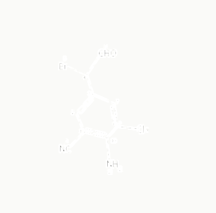 N#Cc1cc(C(Br)C=O)cc(Cl)c1N